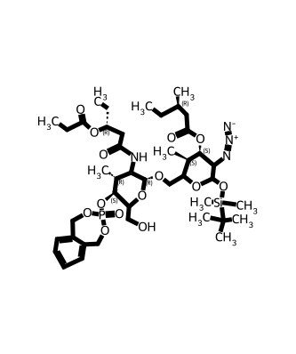 CCC(=O)O[C@H](CC)CC(=O)NC1[C@H](OCC2OC(O[Si](C)(C)C(C)(C)C)C(N=[N+]=[N-])[C@@H](OC(=O)C[C@H](C)CC)[C@@H]2C)OC(CO)[C@@H](OP2(=O)OCc3ccccc3CO2)[C@@H]1C